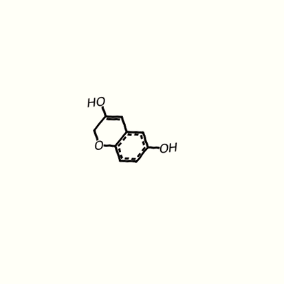 OC1=Cc2cc(O)ccc2OC1